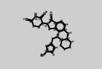 CCn1cc(CN[C@@H]2CCCC[C@@H]2Oc2ccc3c(c2)CN(C2CCC(=O)NC2=O)C3=O)cn1